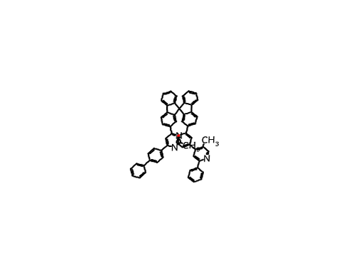 Cc1nc(-c2ccc(-c3ccccc3)cc2)cc(-c2ccc3c(c2)C2(c4ccccc4-c4ccc(-c5cccc(-c6cc(-c7ccccc7)ncc6C)c5)cc42)c2ccccc2-3)n1